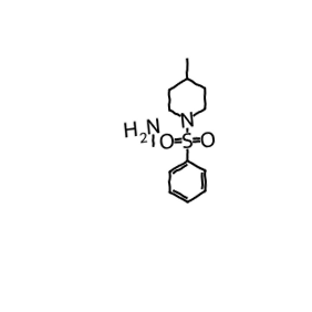 CC1CCN(S(=O)(=O)c2ccccc2)CC1.CN